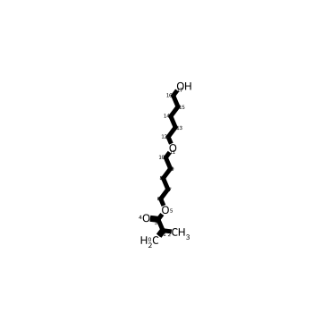 C=C(C)C(=O)OCCCCCOCCCCCO